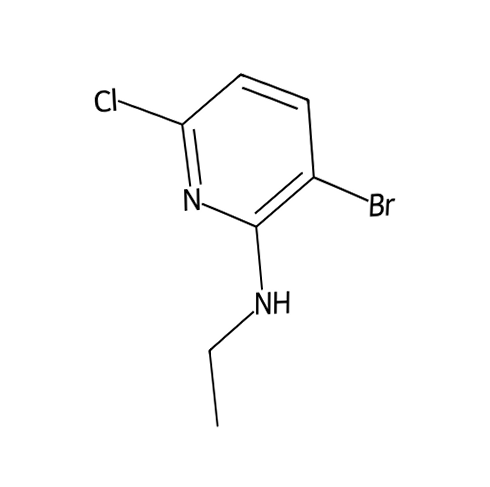 CCNc1nc(Cl)ccc1Br